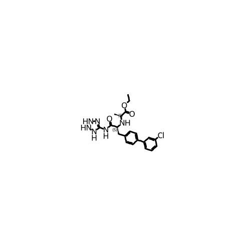 CCOC(=O)[C@H](C)N[C@@H](Cc1ccc(-c2cccc(Cl)c2)cc1)C(=O)NC1=NNNN1